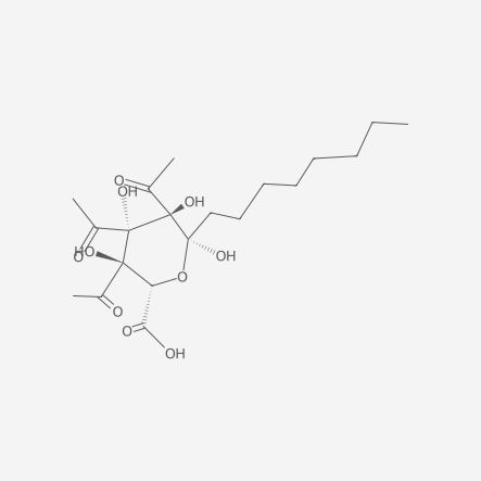 CCCCCCCC[C@@]1(O)O[C@H](C(=O)O)[C@](O)(C(C)=O)[C@@](O)(C(C)=O)[C@]1(O)C(C)=O